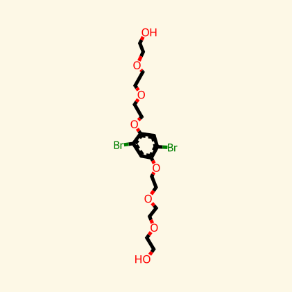 OCCOCCOCCOc1cc(Br)c(OCCOCCOCCO)cc1Br